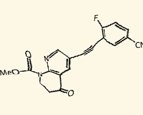 COC(=O)N1CCC(=O)c2cc(C#Cc3cc(C#N)ccc3F)cnc21